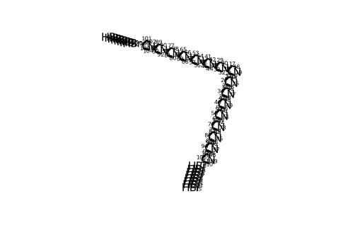 Br.Br.Br.Br.Br.Br.Br.Br.Br.Br.Br.Br.Br.Br.Br.Br.c1ccncc1.c1ccncc1.c1ccncc1.c1ccncc1.c1ccncc1.c1ccncc1.c1ccncc1.c1ccncc1.c1ccncc1.c1ccncc1.c1ccncc1.c1ccncc1.c1ccncc1.c1ccncc1.c1ccncc1.c1ccncc1